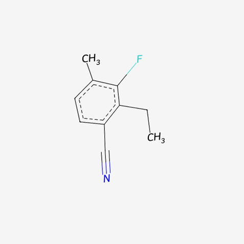 CCc1c(C#N)ccc(C)c1F